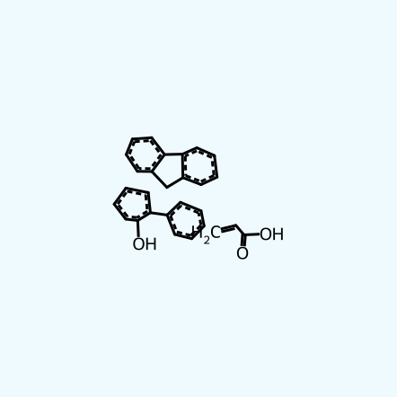 C=CC(=O)O.Oc1ccccc1-c1ccccc1.c1ccc2c(c1)Cc1ccccc1-2